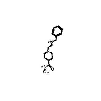 O=C(NO)C1CCN(CCNCc2ccccc2)CC1